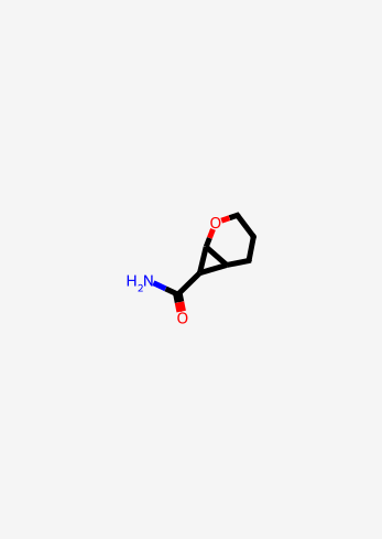 NC(=O)C1C2CCCOC21